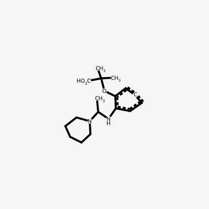 CC(Nc1ccccc1OC(C)(C)C(=O)O)N1CCCCC1